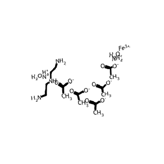 CC(=O)[O-].CC(=O)[O-].CC(=O)[O-].CC(=O)[O-].CC(=O)[O-].NCCNCCN.O.O.[Fe+3].[NH4+].[NH4+]